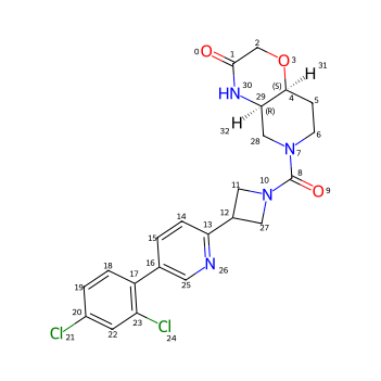 O=C1CO[C@H]2CCN(C(=O)N3CC(c4ccc(-c5ccc(Cl)cc5Cl)cn4)C3)C[C@H]2N1